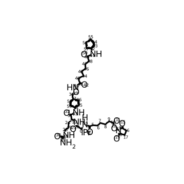 CC(C)C(NC(=O)CCCCCC(=O)ON1C(=O)CCC1=O)C(=O)N[C@@H](CCCNC(N)=O)C(=O)Nc1ccc(CONC(=O)CCCCCCC(=O)Nc2ccccc2)cc1